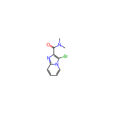 CN(C)C(=O)c1nc2ccccn2c1Br